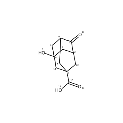 O=C1C2CC3(O)CC1CC(C(=O)O)(C2)C3